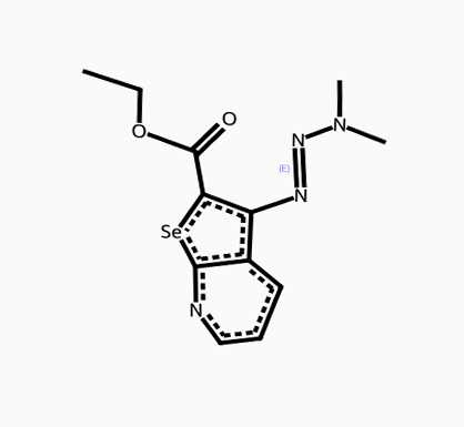 CCOC(=O)c1[se]c2ncccc2c1/N=N/N(C)C